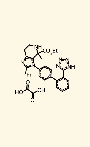 CCCc1nc2c(n1-c1ccc(-c3ccccc3-c3nnn[nH]3)cc1)C(C)(C(=O)OCC)NCC2.O=C(O)C(=O)O